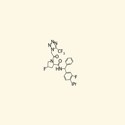 CC(C)c1ccc(C(NC(=O)C2CC(F)CN2C(=O)Cn2nnnc2C(F)(F)F)c2ccccc2)cc1F